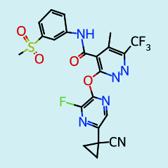 Cc1c(C(F)(F)F)nnc(Oc2ncc(C3(C#N)CC3)nc2F)c1C(=O)Nc1cccc(S(C)(=O)=O)c1